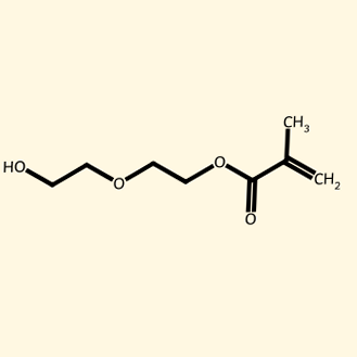 C=C(C)C(=O)OCCOCCO